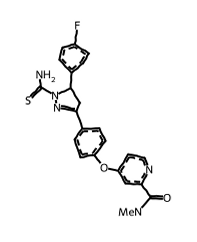 CNC(=O)c1cc(Oc2ccc(C3=NN(C(N)=S)C(c4ccc(F)cc4)C3)cc2)ccn1